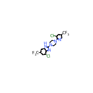 FC(F)(F)c1cnc(N2CCN(c3nc4c(Cl)cc(C(F)(F)F)cc4[nH]3)CC2)c(Cl)c1